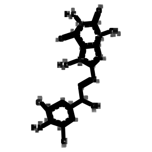 Cn1c(=O)c2c(nc(N=CC(O)c3cc(Cl)c(N)c(Cl)c3)n2C)n(C)c1=O